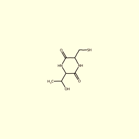 CC(O)C1NC(=O)C(CS)NC1=O